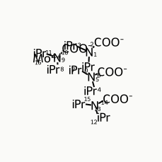 CC(C)N(C(=O)[O-])C(C)C.CC(C)N(C(=O)[O-])C(C)C.CC(C)N(C(=O)[O-])C(C)C.CC(C)N(C(=O)[O-])C(C)C.[Mo+4]